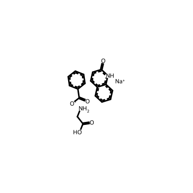 NCC(=O)O.O=C([O-])c1ccccc1.O=c1ccc2ccccc2[nH]1.[Na+]